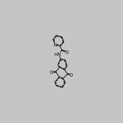 O=C(Nc1ccc2c(c1)C(=O)c1ccccc1C2=O)c1ccccn1